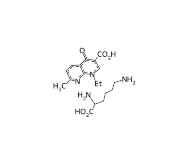 CCn1cc(C(=O)O)c(=O)c2ccc(C)nc21.NCCCCC(N)C(=O)O